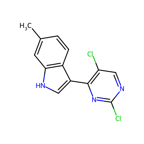 Cc1ccc2c(-c3nc(Cl)ncc3Cl)c[nH]c2c1